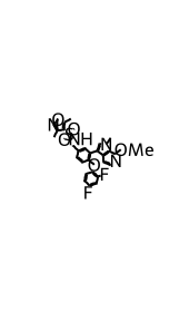 COc1nccc2c(-c3cc(CNS(=O)(=O)c4c(C)noc4C)ccc3Oc3ccc(F)cc3F)cn(C)c12